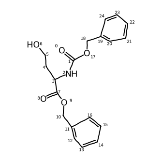 O=C(NC(CCO)C(=O)OCc1ccccc1)OCc1ccccc1